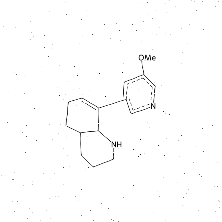 COc1cncc(C2=CCCC3CCCNC23)c1